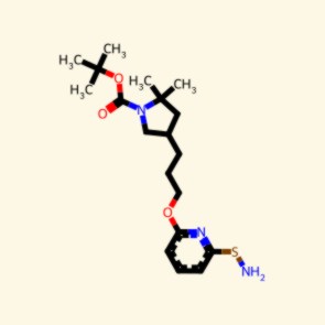 CC(C)(C)OC(=O)N1CC(CCCOc2cccc(SN)n2)CC1(C)C